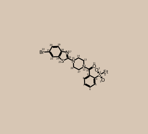 CCS(=O)(=O)c1ccccc1C(=O)N1CCN(c2nc3ccc(Br)cc3s2)CC1